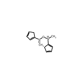 C[SiH](O[SiH](C)C1=CC=CC1)C1=CC=CC1